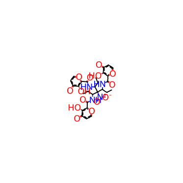 CCC(NC(=O)c1occc(=O)c1O)C(C(CC)NC(=O)c1occc(=O)c1O)(C(CC)NC(=O)c1occc(=O)c1O)[N+](=O)[O-]